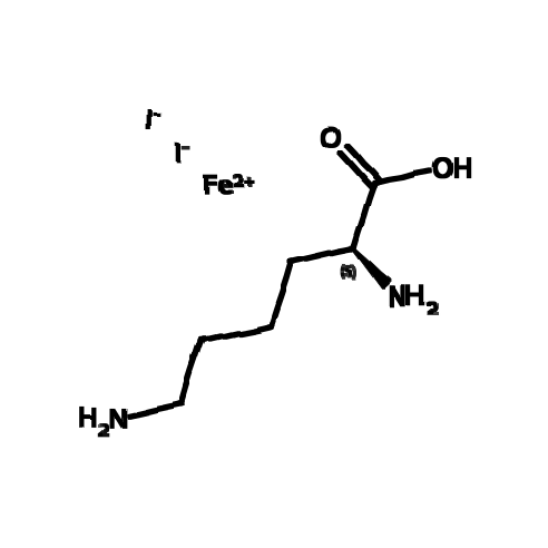 NCCCC[C@H](N)C(=O)O.[Fe+2].[I-].[I-]